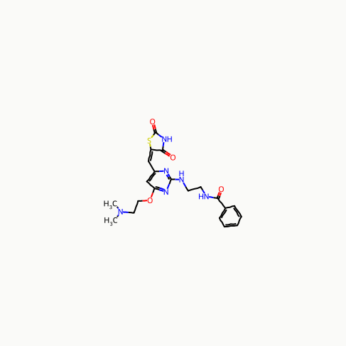 CN(C)CCOc1cc(/C=C2/SC(=O)NC2=O)nc(NCCNC(=O)c2ccccc2)n1